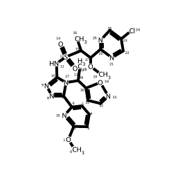 COc1cccc(-c2nnc(NS(=O)(=O)C(C)C(OC)c3ncc(Cl)cn3)n2C(C)c2ccno2)n1